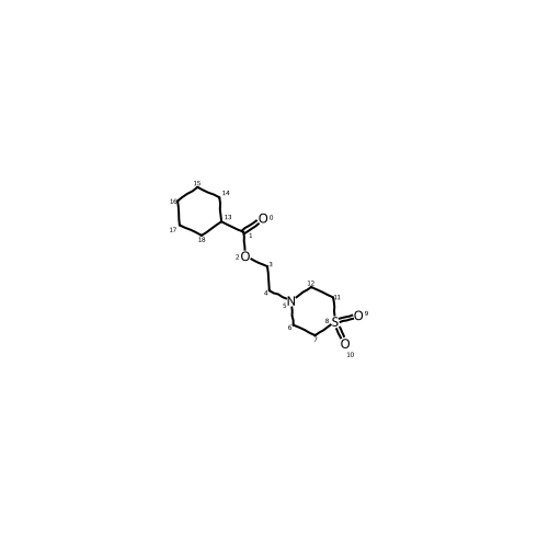 O=C(OCCN1CCS(=O)(=O)CC1)C1CCCCC1